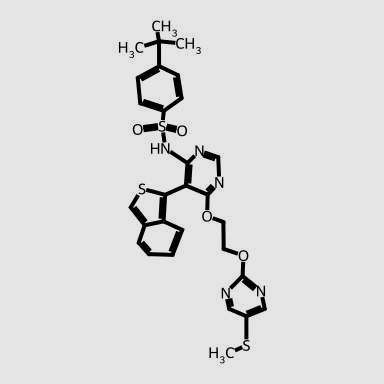 CSc1cnc(OCCOc2ncnc(NS(=O)(=O)c3ccc(C(C)(C)C)cc3)c2-c2scc3ccccc23)nc1